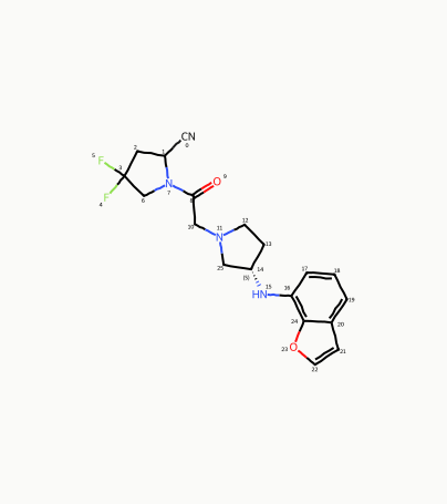 N#CC1CC(F)(F)CN1C(=O)CN1CC[C@H](Nc2cccc3ccoc23)C1